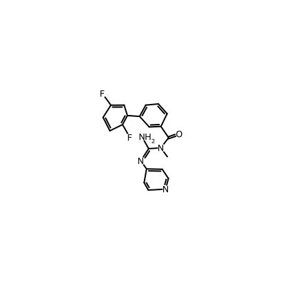 CN(C(=O)c1cccc(-c2cc(F)ccc2F)c1)/C(N)=N\c1ccncc1